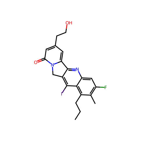 CCCc1c(C)c(F)cc2nc3c(c(I)c12)Cn1c-3cc(CCO)cc1=O